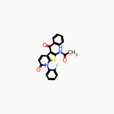 CC(=O)Nc1sc2c(ccc(=O)n2-c2ccccc2F)c1C(=O)c1ccccc1